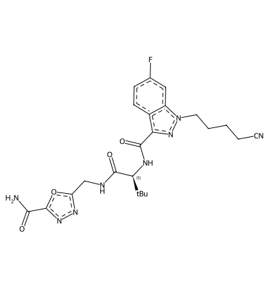 CC(C)(C)[C@H](NC(=O)c1nn(CCCCC#N)c2cc(F)ccc12)C(=O)NCc1nnc(C(N)=O)o1